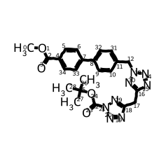 COC(=O)c1ccc(-c2ccc(Cn3nnc(Cc4nnn(C(=O)OC(C)(C)C)n4)n3)cc2)cc1